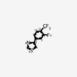 Fc1cc(-c2cs[c]n2)ccc1C(F)(F)F